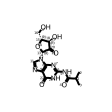 CC(C)C(=O)Nc1nc2c(ncn2[C@@H]2O[C@H](CO)[C@@H](O)C2=O)c(=O)[nH]1